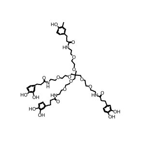 Cc1cc(CCC(=O)NCCOCCOCC(COCCOCCNC(=O)CCc2ccc(O)c(O)c2)(COCCOCCNC(=O)CCc2ccc(O)c(O)c2)COCCOCCNC(=O)CCc2ccc(O)c(O)c2)ccc1O